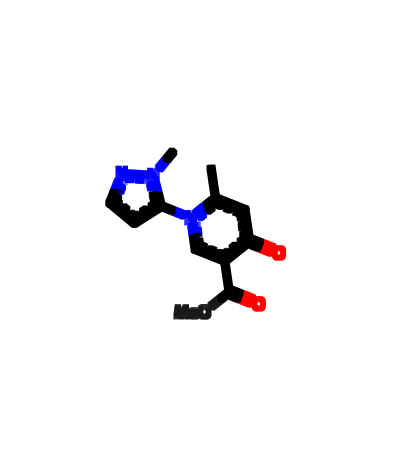 COC(=O)c1cn(-c2ccnn2C)c(C)cc1=O